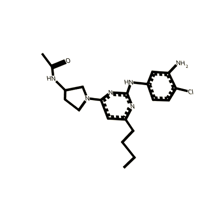 CCCCc1cc(N2CCC(NC(C)=O)C2)nc(Nc2ccc(Cl)c(N)c2)n1